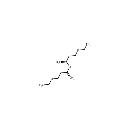 C=C(CCOCC(F)(F)F)OC(=C)CCOCC(F)(F)F